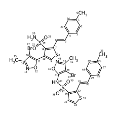 Cc1ccc(C=Cc2scc(-c3onc(C)c3Br)c2S(N)(=O)=O)cc1.Cc1ccc(C=Cc2sccc2S(=O)(=O)Nc2onc(C)c2Br)cc1